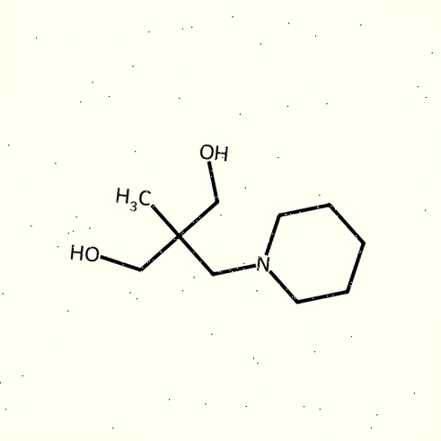 CC(CO)(CO)CN1CCCCC1